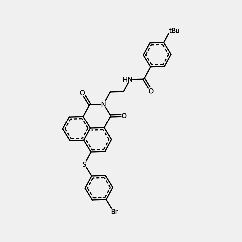 CC(C)(C)c1ccc(C(=O)NCCN2C(=O)c3cccc4c(Sc5ccc(Br)cc5)ccc(c34)C2=O)cc1